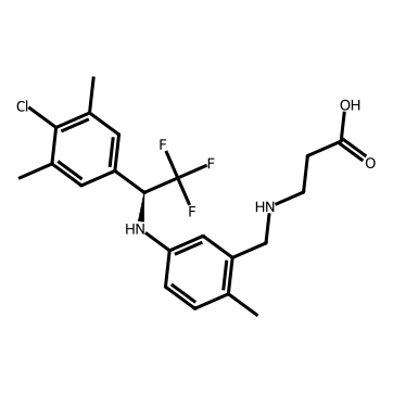 Cc1ccc(N[C@@H](c2cc(C)c(Cl)c(C)c2)C(F)(F)F)cc1CNCCC(=O)O